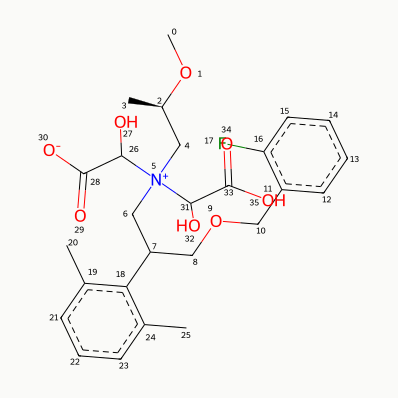 CO[C@H](C)C[N+](CC(COCc1ccccc1F)c1c(C)cccc1C)(C(O)C(=O)[O-])C(O)C(=O)O